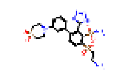 NCCS(=O)(=O)c1ccc(-c2cccc(N3CCS(=O)(=O)CC3)c2)c(-c2nnn[nH]2)c1S(N)(=O)=O